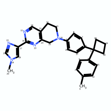 Cc1ccc(C2(c3ccc(N4CCc5cnc(-c6cn(C)cn6)nc5C4)cc3)CCC2)cc1